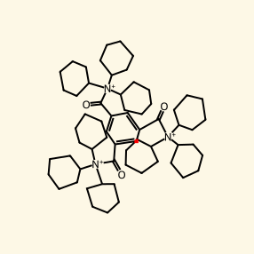 O=C(c1cc(C(=O)[N+](C2CCCCC2)(C2CCCCC2)C2CCCCC2)cc(C(=O)[N+](C2CCCCC2)(C2CCCCC2)C2CCCCC2)c1)[N+](C1CCCCC1)(C1CCCCC1)C1CCCCC1